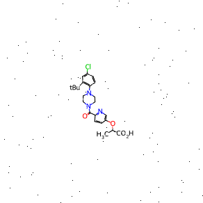 CC(Oc1ccc(C(=O)N2CCN(c3ccc(Cl)cc3C(C)(C)C)CC2)nc1)C(=O)O